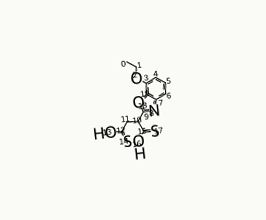 CCOc1cccc2nc(C(CC(O)=S)C(O)=S)oc12